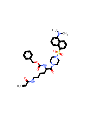 C=CC(=O)NCCCCC(NC(=O)OCc1ccccc1)C(=O)N1CCN(S(=O)(=O)c2cccc3c(N(C)C)cccc23)CC1